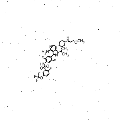 COCCN[C@H]1CC[C@H](c2cnc(N)c3c(-c4cc(F)c(NS(=O)(=O)c5cc(OC(F)(F)F)ccc5F)cc4F)nn(C(C)C)c32)CC1